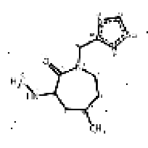 CNC1CC(C)CCN(Cc2ncsn2)C1=O